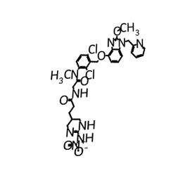 COc1nc2c(OCc3c(Cl)ccc(N(C)C(=O)CNC(=O)CCC4CN=C(N[N+](=O)[O-])NC4)c3Cl)cccc2n1Cc1ccccn1